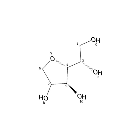 OC[C@H](O)[C@H]1OCC(O)[C@@H]1O